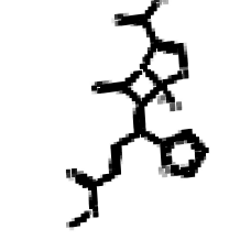 COC(=O)C=CC(=C1C(=O)N2C(C(=O)O)=CS[C@H]12)c1ccco1